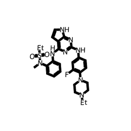 CCN1CCN(c2ccc(Nc3nc(Nc4ccccc4N(C)S(=O)(=O)CC)c4cc[nH]c4n3)cc2F)CC1